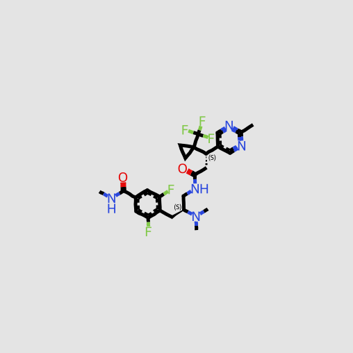 CNC(=O)c1cc(F)c(C[C@@H](CNC(=O)C[C@@H](c2cnc(C)nc2)C2(C(F)(F)F)CC2)N(C)C)c(F)c1